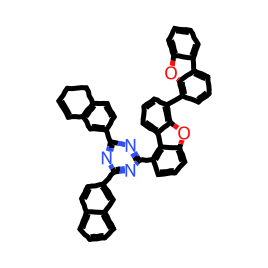 C1=Cc2cc(-c3nc(-c4ccc5ccccc5c4)nc(-c4cccc5oc6c(-c7cccc8c7oc7ccccc78)cccc6c45)n3)ccc2CC1